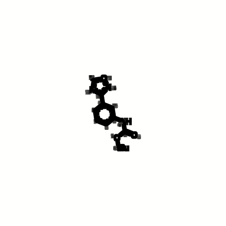 CC(C)(C)OC(=O)Nc1cccc(-c2n[c]on2)c1